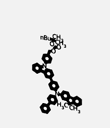 CCCCC(C)(C)OC(=O)OCc1ccc(-n2c3ccccc3c3cc(-c4ccc(N(c5ccc(-c6ccccc6)cc5)c5ccc6c(c5)C(C)(C)c5ccccc5-6)cc4)ccc32)cc1